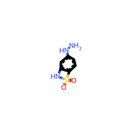 NNc1ccc2c(c1)NS2(=O)=O